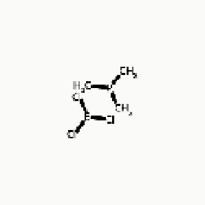 CP(C)C.ClB(Cl)Cl